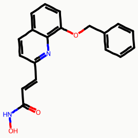 O=C(C=Cc1ccc2cccc(OCc3ccccc3)c2n1)NO